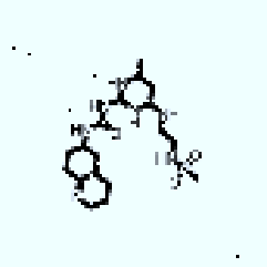 CC1CC(NCCNS(C)(=O)=O)NC(NC(=O)NC2CCC3=NCCCC3C2)N1